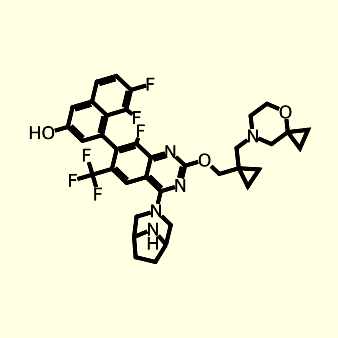 Oc1cc(-c2c(C(F)(F)F)cc3c(N4CC5CCC(C4)N5)nc(OCC4(CN5CCOC6(CC6)C5)CC4)nc3c2F)c2c(F)c(F)ccc2c1